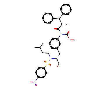 COC(=O)N(C(=O)[C@@H](N)C(c1ccccc1)c1ccccc1)c1cccc(C[C@@H](CO)N(CCC(C)C)S(=O)(=O)c2ccc([N+](=O)[O-])cc2)c1